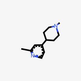 Cc1cc(C2CCN(C)CC2)ccn1